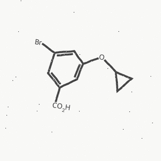 O=C(O)c1cc(Br)cc(OC2CC2)c1